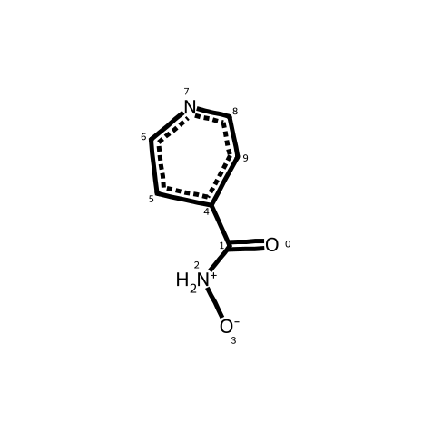 O=C([NH2+][O-])c1ccncc1